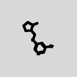 CN1CCCC1COc1cncc(Br)c1